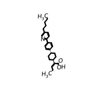 CCC=C(C(=O)O)[C@H]1CC[C@H](c2ccc(-c3ccc(CCCCC)cn3)cc2)CC1